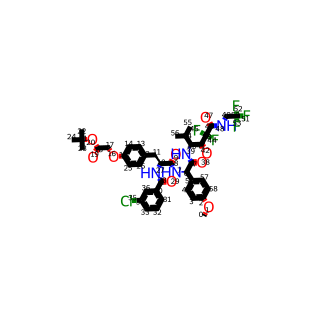 COc1ccc([C@H](NC(=O)[C@H](Cc2ccc(OCC(=O)OC(C)(C)C)cc2)NC(=O)c2cccc(Cl)c2)C(=O)N[C@H](C(=O)C(F)(F)C(=O)NCC(F)(F)F)C(C)C)cc1